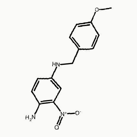 COc1ccc(CNc2ccc(N)c([N+](=O)[O-])c2)cc1